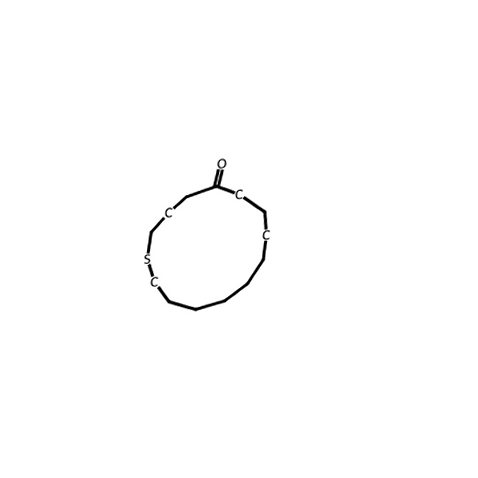 O=C1CCCCCCCCCSCCC1